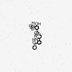 C[C@H](Cc1c[nH]c2c(C(=O)N3CCCCC3)cccc12)NC[C@H](O)c1ccc(O)c(NS(C)(=O)=O)c1